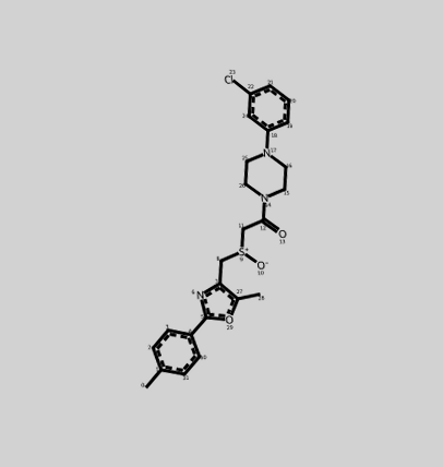 Cc1ccc(-c2nc(C[S+]([O-])CC(=O)N3CCN(c4cccc(Cl)c4)CC3)c(C)o2)cc1